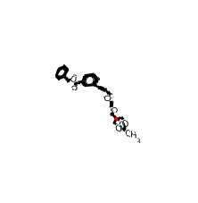 CC12OCC(COCCOCC#Cc3cccc(C(=O)OCc4ccccc4)c3)(CO1)CO2